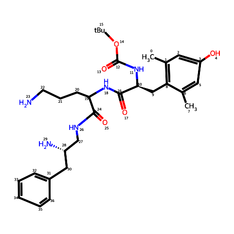 Cc1cc(O)cc(C)c1C[C@H](NC(=O)OC(C)(C)C)C(=O)NC(CCCN)C(=O)NC[C@@H](N)Cc1ccccc1